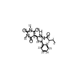 CCCC(=O)N1NC(=C2C(=O)N(C)C(=O)N(C)C2=O)CC1c1ccccc1